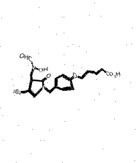 CCCCC1CN(Cc2ccc(OCCCCC(=O)O)cc2)C(=O)C1CN(O)C=O